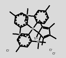 CC1=C(C)[C]([Ti+3])([Si](c2ccc(C)cc2[Si](C)(C)C)(c2ccc(C)cc2[Si](C)(C)C)c2ccc(C)cc2[Si](C)(C)C)C(C)=C1C.[Cl-].[Cl-].[Cl-]